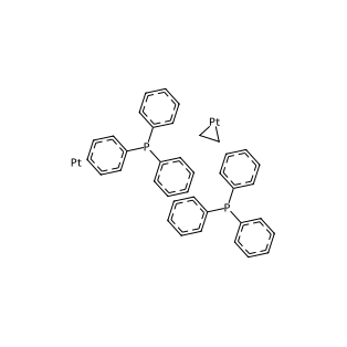 [CH2]1[CH2][Pt]1.[Pt].c1ccc(P(c2ccccc2)c2ccccc2)cc1.c1ccc(P(c2ccccc2)c2ccccc2)cc1